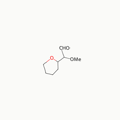 COC([C]=O)C1CCCCO1